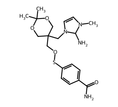 CN1C=CN(CC2(COSc3ccc(C(N)=O)cc3)COC(C)(C)OC2)C1N